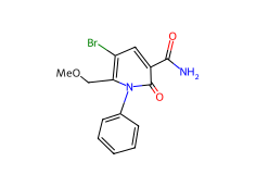 COCc1c(Br)cc(C(N)=O)c(=O)n1-c1ccccc1